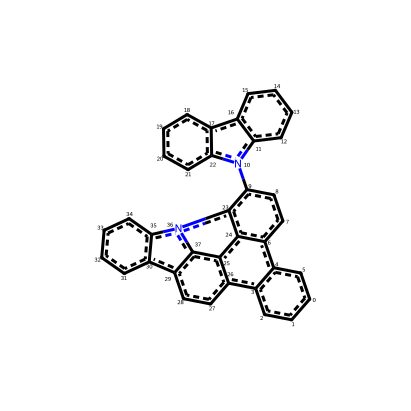 c1ccc2c(c1)c1ccc(-n3c4ccccc4c4ccccc43)c3c1c1c2ccc2c4ccccc4n3c21